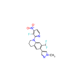 Cn1cc(-c2cc3c(cc2C(F)F)N(c2nccc([N+](=O)[O-])c2F)CCC3)cn1